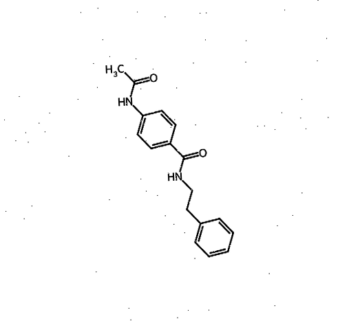 CC(=O)Nc1ccc(C(=O)NCCc2ccccc2)cc1